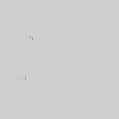 N#CC=C(c1ccccc1)N1CC1C(N)=O